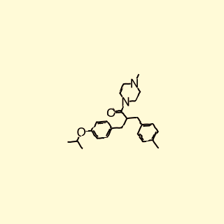 Cc1ccc(CC(Cc2ccc(OC(C)C)cc2)C(=O)N2CCN(C)CC2)cc1